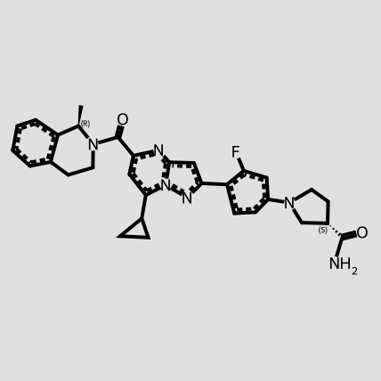 C[C@@H]1c2ccccc2CCN1C(=O)c1cc(C2CC2)n2nc(-c3ccc(N4CC[C@H](C(N)=O)C4)cc3F)cc2n1